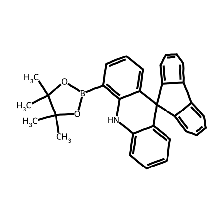 CC1(C)OB(c2cccc3c2Nc2ccccc2C32c3ccccc3-c3ccccc32)OC1(C)C